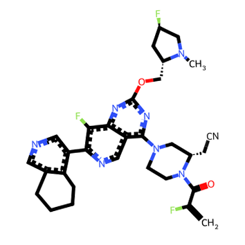 C=C(F)C(=O)N1CCN(c2nc(OC[C@@H]3C[C@@H](F)CN3C)nc3c(F)c(-c4cncc5c4CCCC5)ncc23)C[C@@H]1CC#N